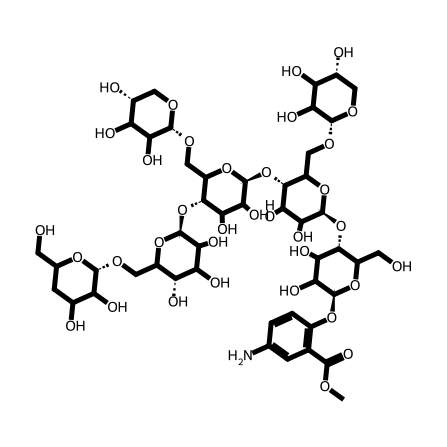 COC(=O)c1cc(N)ccc1O[C@@H]1OC(CO)[C@@H](O[C@@H]2OC(CO[C@H]3OC[C@@H](O)C(O)C3O)[C@@H](O[C@@H]3OC(CO[C@H]4OC[C@@H](O)C(O)C4O)[C@@H](O[C@@H]4OC(CO[C@H]5OC(CO)CC(O)C5O)[C@@H](O)C(O)C4O)C(O)C3O)C(O)C2O)C(O)C1O